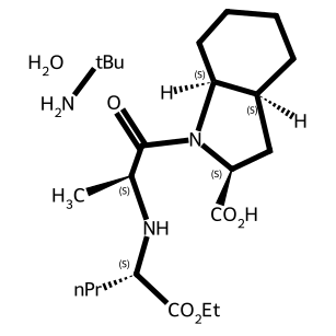 CC(C)(C)N.CCC[C@H](N[C@@H](C)C(=O)N1[C@H](C(=O)O)C[C@@H]2CCCC[C@@H]21)C(=O)OCC.O